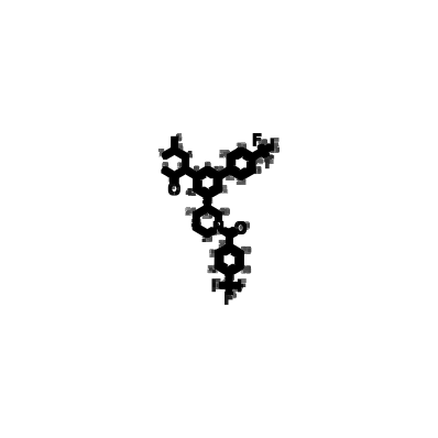 CC(=O)C(CC(C)C)c1cc(-c2ccc(C(F)(F)F)cc2)cc(C2CCCN(C(=O)c3ccc(C(F)(F)F)cc3)C2)c1